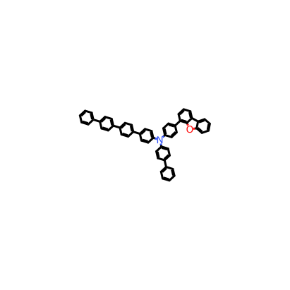 c1ccc(-c2ccc(-c3ccc(-c4ccc(N(c5ccc(-c6ccccc6)cc5)c5ccc(-c6cccc7c6oc6ccccc67)cc5)cc4)cc3)cc2)cc1